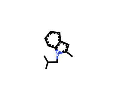 Cc1cc2ccccc2n1CC(C)C